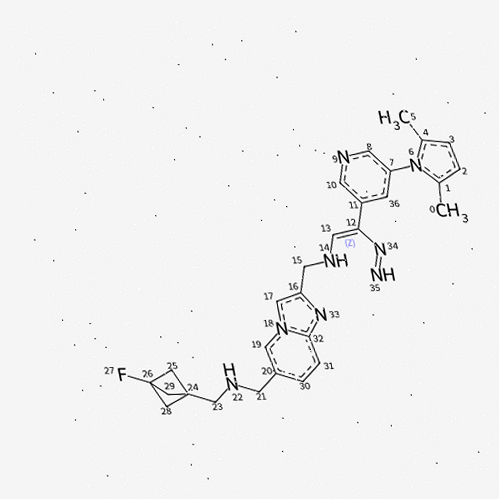 Cc1ccc(C)n1-c1cncc(/C(=C/NCc2cn3cc(CNCC45CC(F)(C4)C5)ccc3n2)N=N)c1